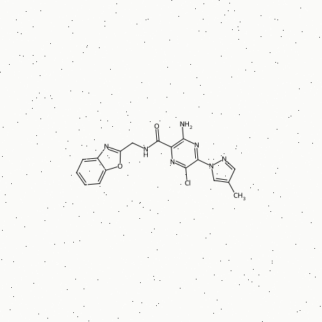 Cc1cnn(-c2nc(N)c(C(=O)NCc3nc4ccccc4o3)nc2Cl)c1